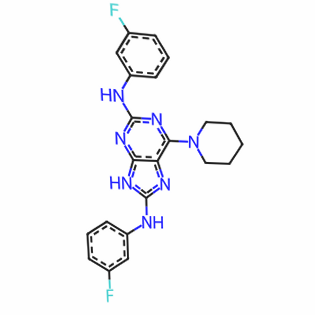 Fc1cccc(Nc2nc(N3CCCCC3)c3nc(Nc4cccc(F)c4)[nH]c3n2)c1